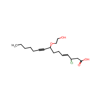 CCCCCC#CC(CCC=CC(Cl)CC(=O)O)OCCO